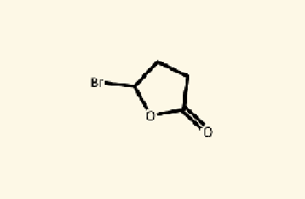 O=C1CCC(Br)O1